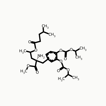 COC(=O)[C@](N)(Cc1ccc(OC(=O)OC(C)C)c(OC(=O)OC(C)C)c1)CC(C)OC(=O)CCC(C)C